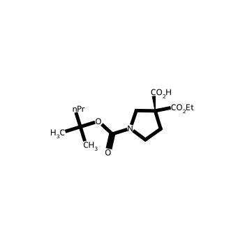 CCCC(C)(C)OC(=O)N1CC[C@@](C(=O)O)(C(=O)OCC)C1